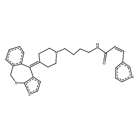 O=C(/C=C\c1cccnc1)NCCCCN1CCC(=C2c3ccccc3CSc3sccc32)CC1